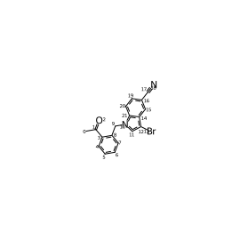 CC(=O)c1ccccc1Cn1cc(Br)c2cc(C#N)ccc21